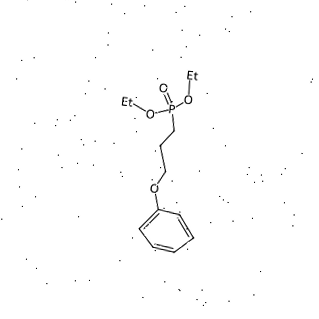 CCOP(=O)(CCCOc1[c]cccc1)OCC